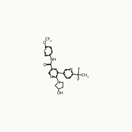 CC(F)(F)c1ccc(-c2cc(C(=O)Nc3ccc(OC(F)(F)F)cc3)cnc2N2CC[C@@H](O)C2)cn1